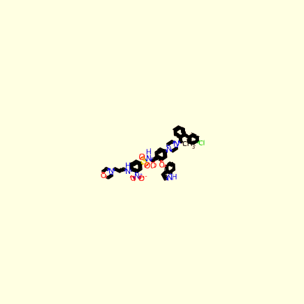 CC(c1ccccc1-c1ccc(Cl)cc1)N1CCN(c2ccc(C(=O)NS(=O)(=O)c3ccc(NCCCN4CCOCC4)c([N+](=O)[O-])c3)c(Oc3cccc4[nH]ccc34)c2)CC1